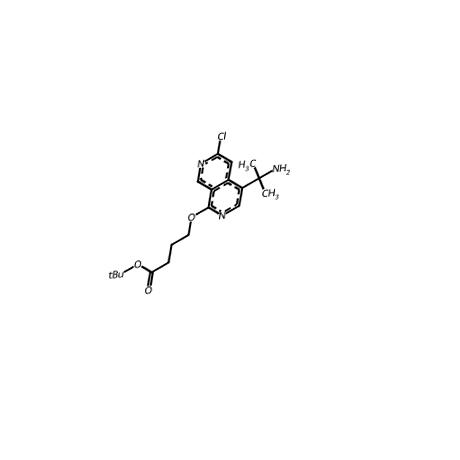 CC(C)(C)OC(=O)CCCOc1ncc(C(C)(C)N)c2cc(Cl)ncc12